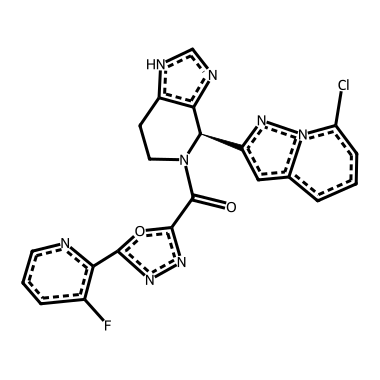 O=C(c1nnc(-c2ncccc2F)o1)N1CCc2[nH]cnc2[C@H]1c1cc2cccc(Cl)n2n1